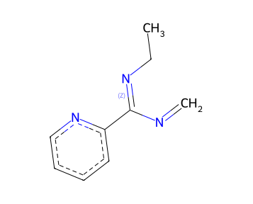 C=N/C(=N\CC)c1ccccn1